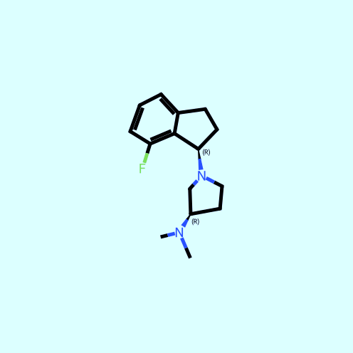 CN(C)[C@@H]1CCN([C@@H]2CCc3cccc(F)c32)C1